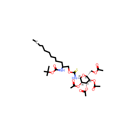 CCCCCCCCCCC(COC(=S)N[C@@H]1O[C@H](COC(C)=O)[C@@H](OC(C)=O)[C@H](OC(C)=O)[C@H]1OC(C)=O)NC(=O)OC(C)(C)C